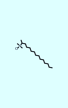 CCCCCCCCCCCCCC(C)[N+](C)(C)Cl